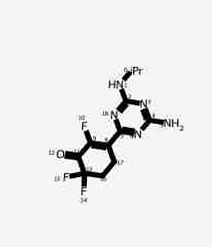 CC(C)Nc1nc(N)nc(C2=C(F)C(=O)C(F)(F)CC2)n1